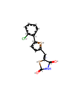 O=C1NC(=O)/C(=C/c2ccc(-c3ccccc3Cl)s2)S1